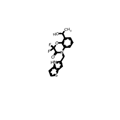 CC(O)c1cccc2c1OC(F)(F)C(=O)N2Cc1cc2sccc2[nH]1